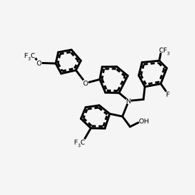 OCC(c1cccc(C(F)(F)F)c1)N(Cc1ccc(C(F)(F)F)cc1F)c1cccc(Oc2cccc(OC(F)(F)F)c2)c1